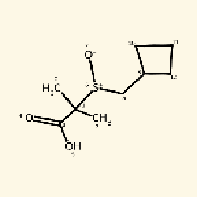 CC(C)(C(=O)O)[S+]([O-])CC1CCC1